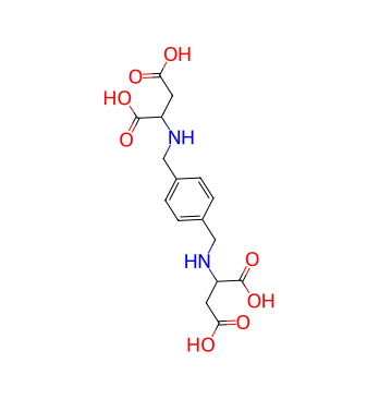 O=C(O)CC(NCc1ccc(CNC(CC(=O)O)C(=O)O)cc1)C(=O)O